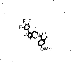 COc1ccc(C(=O)N2CCc3c(nn(C)c3-c3cc(F)c(F)c(F)c3)C2)c(F)c1